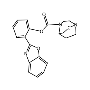 O=C(Oc1ccccc1-c1nc2ccccc2o1)N1CCN2CCC1CC2